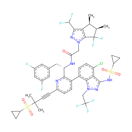 C[C@@H]1c2c(C(F)F)nn(CC(=O)N[C@@H](Cc3cc(F)cc(F)c3)c3nc(C#CC(C)(C)S(=O)(=O)C4CC4)ccc3-c3ccc(Cl)c4c(NS(=O)(=O)C5CC5)nn(CC(F)(F)F)c34)c2C(F)(F)[C@@H]1C